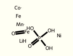 O=P(O)(O)O.[Co].[Fe].[LiH].[Mn].[Ni].[O]=[Fe]